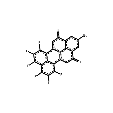 CCc1cc2c(=O)cc3c4c(F)c(F)c(F)c5c(F)c(F)c(F)c(c54)c4cc(=O)c(c1)c2n34